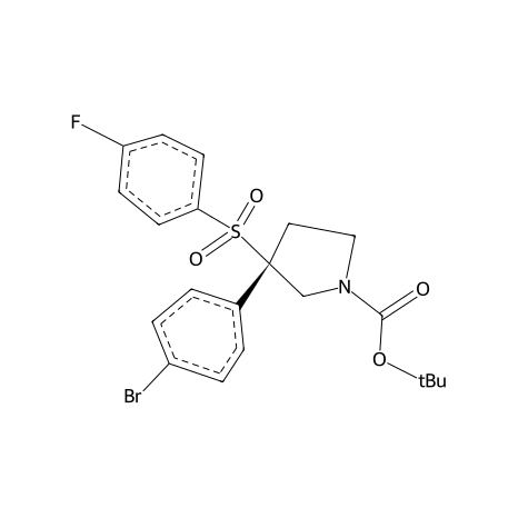 CC(C)(C)OC(=O)N1CC[C@@](c2ccc(Br)cc2)(S(=O)(=O)c2ccc(F)cc2)C1